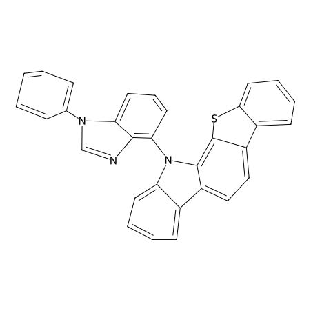 c1ccc(-n2cnc3c(-n4c5ccccc5c5ccc6c7ccccc7sc6c54)cccc32)cc1